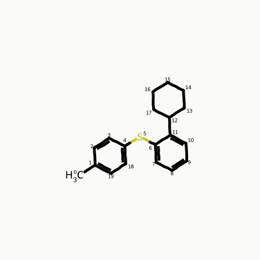 Cc1ccc(Sc2ccccc2C2CCCCC2)cc1